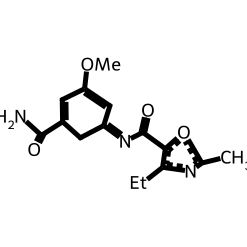 CCc1nc(C)oc1C(=O)/N=C1\C=C(OC)C=C(C(N)=O)C1